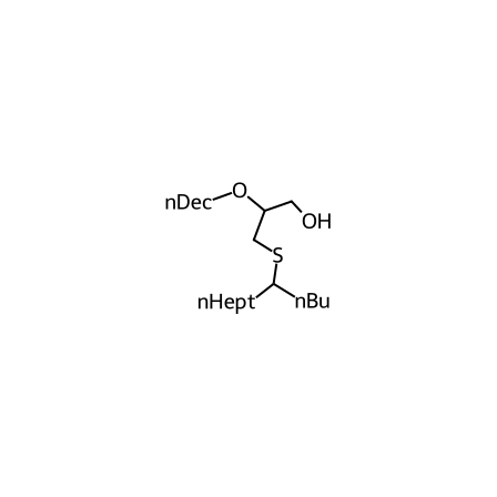 CCCCCCCCCCOC(CO)CSC(CCCC)CCCCCCC